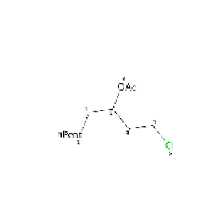 CCCCCCC(CCCl)OC(C)=O